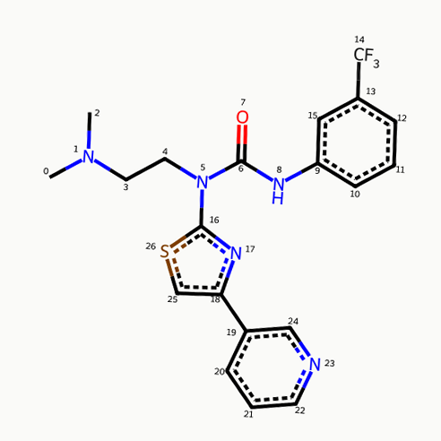 CN(C)CCN(C(=O)Nc1cccc(C(F)(F)F)c1)c1nc(-c2cccnc2)cs1